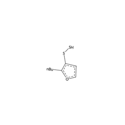 CCCCc1occc1SS